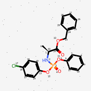 C[C@H](NP(=O)(Oc1ccccc1)Oc1ccc(Cl)cc1)C(=O)OCc1ccccc1